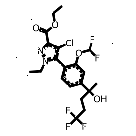 CCOC(=O)c1nn(CC)c(-c2ccc(C(C)(O)CCC(F)(F)F)cc2OC(F)F)c1Cl